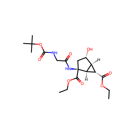 CCOC(=O)[C@H]1[C@H]2[C@@H]1[C@](NC(=O)CNC(=O)OC(C)(C)C)(C(=O)OCC)C[C@@H]2O